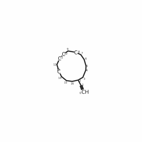 C#CC1CCCCCCCCCCCCCC1